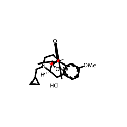 COc1ccc2c(c1)[C@]13CCN(CC4CC4)[C@H](C2)[C@]1(OC)C(C)CC(=O)C3.Cl